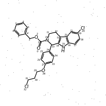 O=C(OCc1ccccc1)N1CCc2c([nH]c3ccc(Cl)cc23)C1c1ccc(OCCCCl)cc1